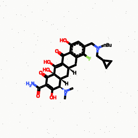 CCCCN(Cc1cc(O)c2c(c1F)C[C@H]1C[C@H]3[C@H](N(C)C)C(O)=C(C(N)=O)C(=O)[C@@]3(O)C(O)=C1C2=O)CC1CC1